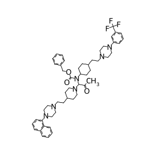 CC(=O)C(N1CCC(CCN2CCN(c3cccc4ccccc34)CC2)CC1)N(C(=O)OCc1ccccc1)C1CCC(CCN2CCN(c3cccc(C(F)(F)F)c3)CC2)CC1